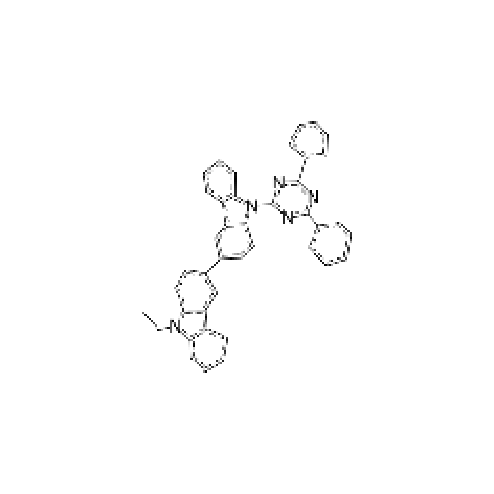 CCn1c2ccccc2c2cc(-c3ccc4c(c3)c3ccccc3n4-c3nc(-c4ccccc4)nc(-c4ccccc4)n3)ccc21